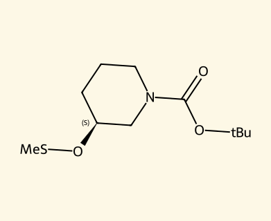 CSO[C@H]1CCCN(C(=O)OC(C)(C)C)C1